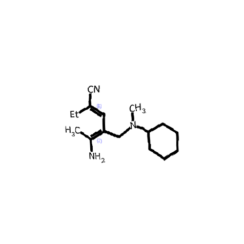 CC/C(C#N)=C\C(CN(C)C1CCCCC1)=C(/C)N